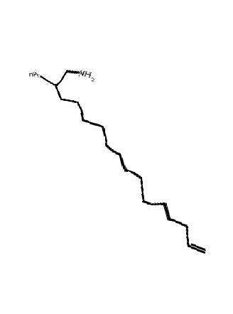 C=CCCCCCCCCCCCCC(CN)CCC